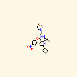 Cc1nc(-c2ccccc2)cc(-c2cccc([N+](=O)[O-])c2)c1C(=O)NCCN1CCSCC1